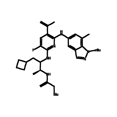 C=C(CC(C)(C)C)N[C@@H](C)C(CC1CCC1)Nc1nc(Nc2cc(C)c3c(cnn3CCCC)c2)c(C(=C)C)cc1F